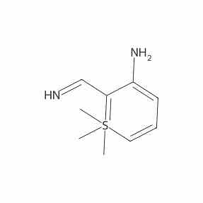 CS1(C)(C)=C(C=N)C(N)=CC=C1